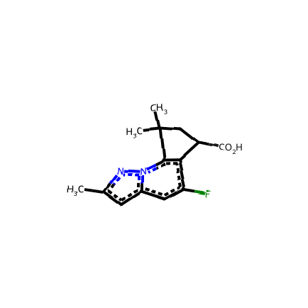 Cc1cc2cc(F)c3c(n2n1)C(C)(C)CC3C(=O)O